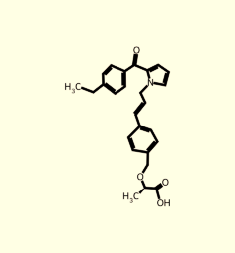 CCc1ccc(C(=O)c2cccn2C/C=C/c2ccc(CO[C@H](C)C(=O)O)cc2)cc1